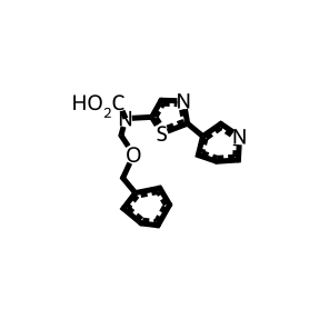 O=C(O)N(COCc1ccccc1)c1cnc(-c2cccnc2)s1